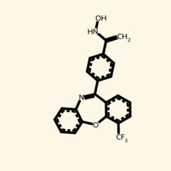 C=C(NO)c1ccc(C2=Nc3ccccc3Oc3c2cccc3C(F)(F)F)cc1